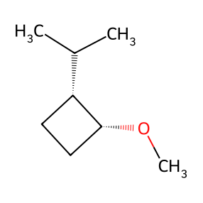 CO[C@@H]1CC[C@@H]1C(C)C